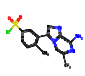 Cc1ccc(S(=O)(=O)Cl)cc1-c1cnc2c(N)nc(C(F)(F)F)cn12